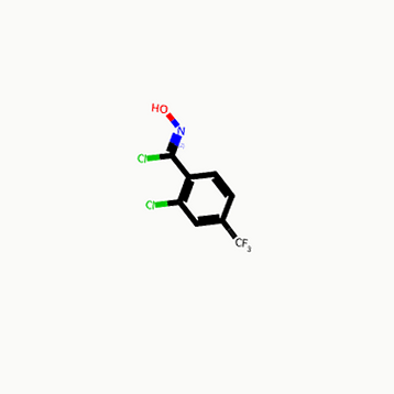 O/N=C(\Cl)c1ccc(C(F)(F)F)cc1Cl